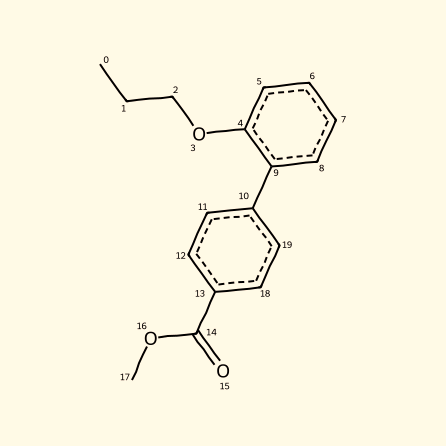 CCCOc1ccccc1-c1ccc(C(=O)OC)cc1